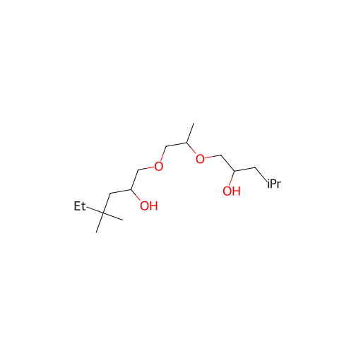 CCC(C)(C)CC(O)COCC(C)OCC(O)CC(C)C